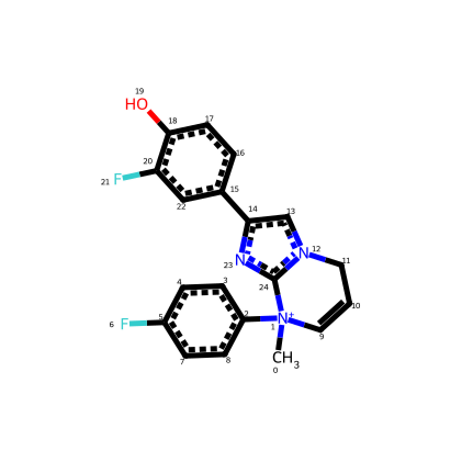 C[N+]1(c2ccc(F)cc2)C=CCn2cc(-c3ccc(O)c(F)c3)nc21